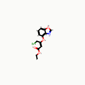 CCOC(=O)C=C(CBr)Oc1cccc2ocnc12